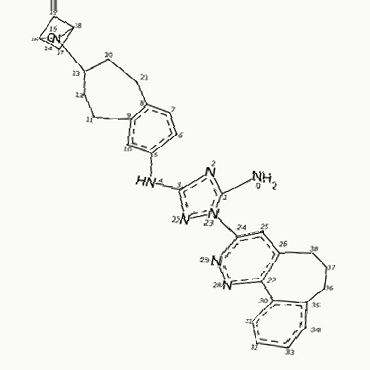 Nc1nc(Nc2ccc3c(c2)CCC(N2CC4CC2C4)CC3)nn1-c1cc2c(nn1)-c1ccccc1CCC2